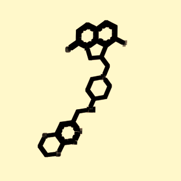 O=c1ccc2ccc(F)c3c2n1CC3CN1CCC(NCc2cc3c(nn2)OCCO3)CC1